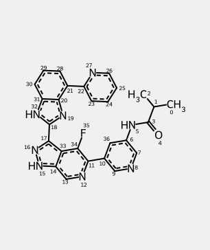 CC(C)C(=O)Nc1cncc(-c2ncc3[nH]nc(-c4nc5c(-c6ccccn6)cccc5[nH]4)c3c2F)c1